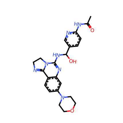 CC(=O)Nc1ccc(C(O)NC2=Nc3cc(N4CCOCC4)ccc3C3=NCCN23)cn1